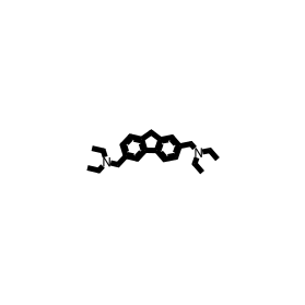 CCN(CC)Cc1ccc2c(c1)Cc1ccc(CN(CC)CC)cc1-2